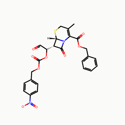 CC1=C(C(=O)OCc2ccccc2)N2C(=O)[C@H](C(C=O)OC(=O)OCc3ccc([N+](=O)[O-])cc3)[C@@H]2SC1